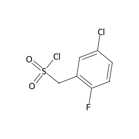 O=S(=O)(Cl)Cc1cc(Cl)ccc1F